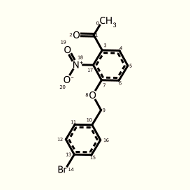 CC(=O)c1cccc(OCc2ccc(Br)cc2)c1[N+](=O)[O-]